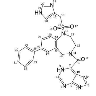 O=C(c1[nH]cnc2ncnc1-2)N1CCN(S(=O)(=O)Cc2c[nH]cn2)c2ccc(-c3ccccc3)cc2C1